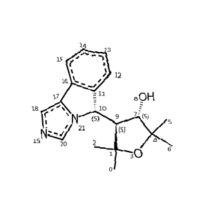 CC1(C)OC(C)(C)[C@@H](O)[C@@H]1[C@H]1c2ccccc2-c2cncn21